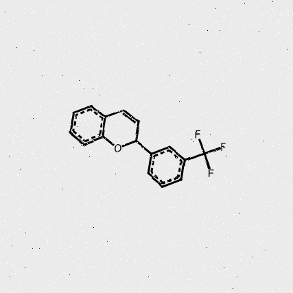 FC(F)(F)c1cccc(C2C=Cc3ccccc3O2)c1